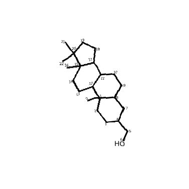 CC12CCC(CO)CC1CCC1C2CCC2(C)C1CCC2(C)C